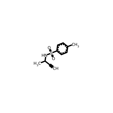 C#CC(C)NS(=O)(=O)c1ccc(C)cc1